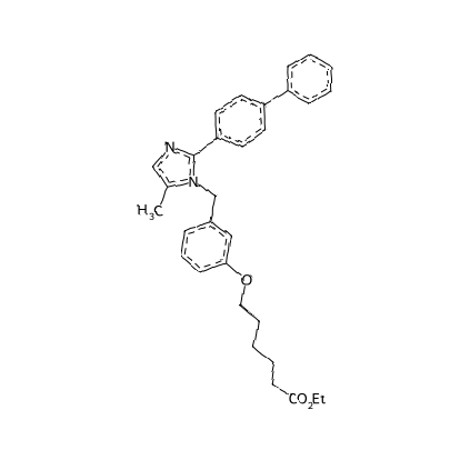 CCOC(=O)CCCCCOc1cccc(Cn2c(C)cnc2-c2ccc(-c3ccccc3)cc2)c1